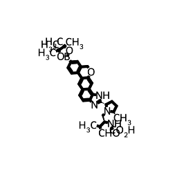 CC(C=O)[C@@H](CN1[C@@H](C)CC[C@H]1c1nc2ccc3cc4c(cc3c2[nH]1)OCc1cc(B2OC(C)(C)C(C)(C)O2)ccc1-4)NC(=O)O